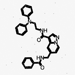 O=C(NCc1ccn2ncc(C(=O)NCCN(c3ccccc3)c3ccccc3)c2c1)c1ccccc1